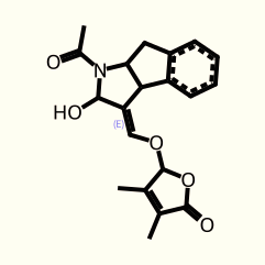 CC(=O)N1C(O)/C(=C/OC2OC(=O)C(C)=C2C)C2c3ccccc3CC21